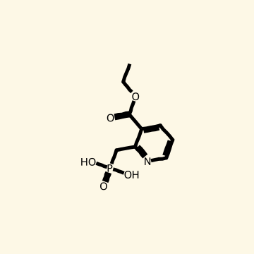 CCOC(=O)c1cccnc1CP(=O)(O)O